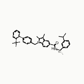 Cc1c(C)n(Cc2ccc(-c3ccccc3C(C)(C)C)cc2)c2ccc(C(=O)N[C@@H](C)c3cccc(C(C)C)c3)cc12